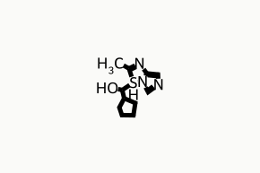 CC1=Nc2cncn2[SH]1C(O)C1CCCC1